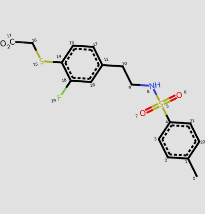 Cc1ccc(S(=O)(=O)NCCc2ccc(SCC(=O)O)c(F)c2)cc1